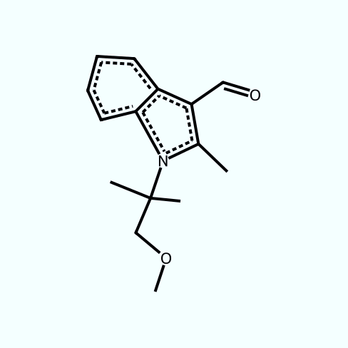 COCC(C)(C)n1c(C)c(C=O)c2ccccc21